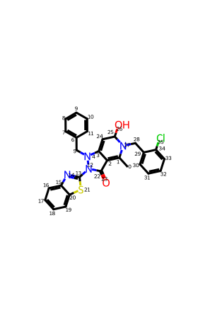 CC1=c2c(n(Cc3ccccc3)n(-c3nc4ccccc4s3)c2=O)=CC(O)N1Cc1ccccc1Cl